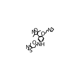 Cc1ncsc1CC(=O)Nc1ccc(OCCN2CCC2)c(-c2c(C)noc2C)c1